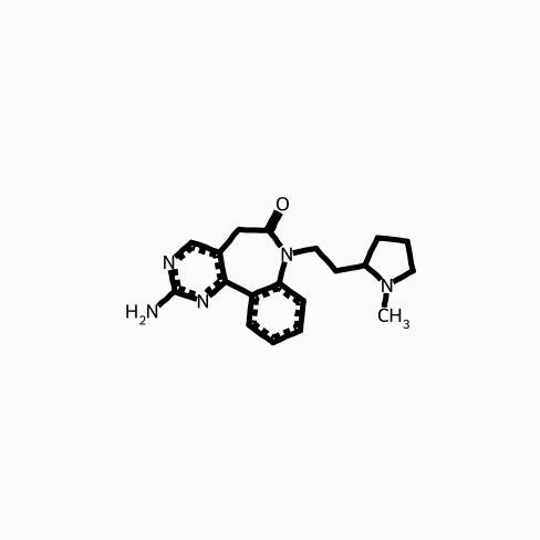 CN1CCCC1CCN1C(=O)Cc2cnc(N)nc2-c2ccccc21